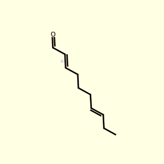 CCC=CCCC/C=C/C=O